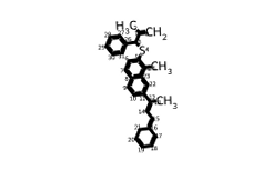 C=C(C)C(Sc1ccc2ccc(/C(C)=C/C=C3/C=CC=CC3)cc2c1C)c1ccccc1